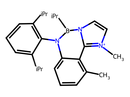 Cc1cccc2c1-c1n(cc[n+]1C)B(C(C)C)N2c1c(C(C)C)cccc1C(C)C